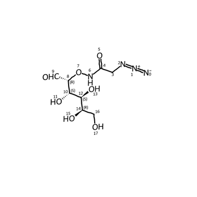 [N-]=[N+]=NCC(=O)NO[C@@H](C=O)[C@@H](O)[C@@H](O)[C@H](O)CO